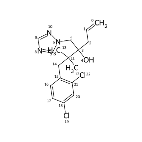 C=CCC(O)(Cn1cncn1)C(C)(C)Cc1ccc(Cl)cc1Cl